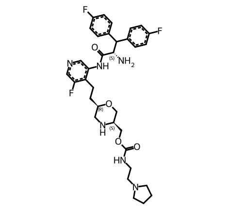 N[C@H](C(=O)Nc1cncc(F)c1CC[C@@H]1CN[C@H](COC(=O)NCCN2CCCC2)CO1)C(c1ccc(F)cc1)c1ccc(F)cc1